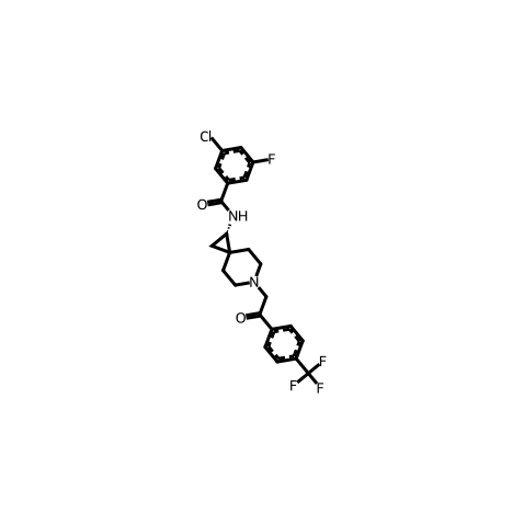 O=C(CN1CCC2(CC1)C[C@@H]2NC(=O)c1cc(F)cc(Cl)c1)c1ccc(C(F)(F)F)cc1